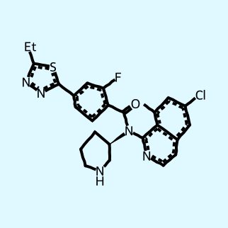 CCc1nnc(-c2ccc(C(=O)N(c3nccc4cc(Cl)cc(C)c34)[C@@H]3CCCNC3)c(F)c2)s1